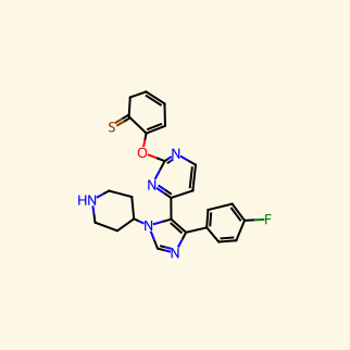 Fc1ccc(-c2ncn(C3CCNCC3)c2-c2ccnc(OC3=CC=CCC3=S)n2)cc1